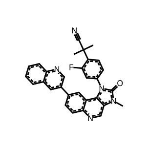 Cn1c(=O)n(-c2ccc(C(C)(C)C#N)c(F)c2)c2c3cc(-c4cnc5ccccc5c4)ccc3ncc21